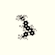 CC(C)(C)c1ccc(N2c3ccccc3C(C)(C)c3cc4c(cc32)C(C)(C)c2cc(B3OC(C)(C)C(C)(C)O3)ccc2-4)cc1